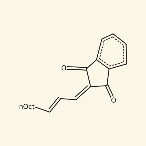 CCCCCCCCC=CC=C1C(=O)c2ccccc2C1=O